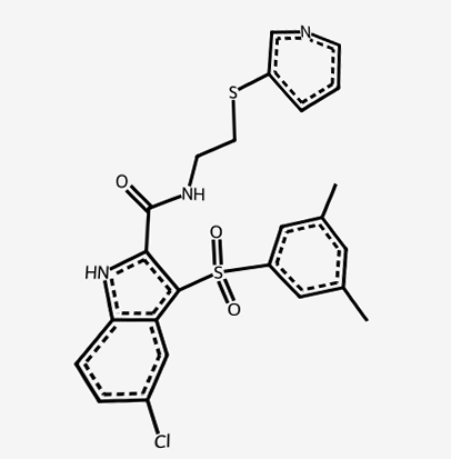 Cc1cc(C)cc(S(=O)(=O)c2c(C(=O)NCCSc3cccnc3)[nH]c3ccc(Cl)cc23)c1